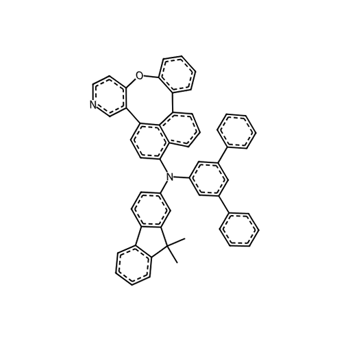 CC1(C)c2ccccc2-c2ccc(N(c3cc(-c4ccccc4)cc(-c4ccccc4)c3)c3ccc4c5c(cccc35)-c3ccccc3Oc3ccncc3-4)cc21